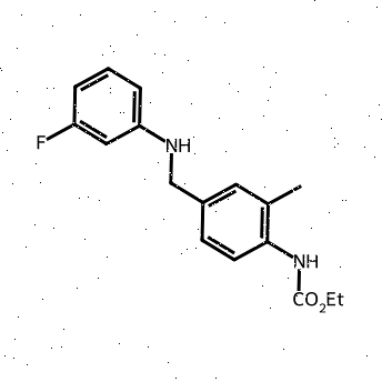 CCOC(=O)Nc1ccc(CNc2cccc(F)c2)cc1C